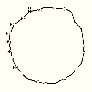 C1CCCCCCCCCNNNNNNNNNCCCCCCCC1